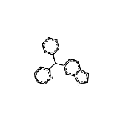 c1ccc(C(c2ccc3ccsc3c2)c2ccccn2)cc1